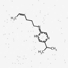 C/C=C\CCC/N=c1/cnc(C(C)C)c[nH]1